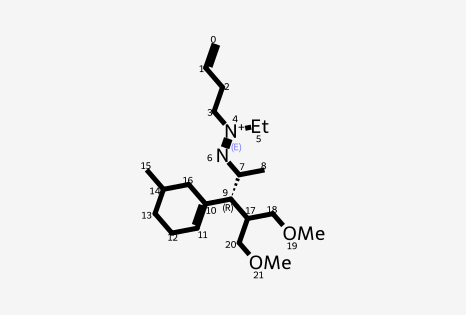 C=CCC/[N+](CC)=N/C(C)[C@@H](C1=CCCC(C)C1)C(COC)COC